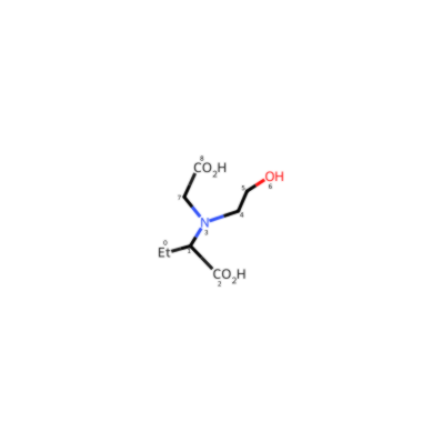 CCC(C(=O)O)N(CCO)CC(=O)O